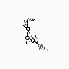 COC(=O)CC1c2ccc(OCc3cccc(-c4c(C)cc(OCCCS(C)(=O)=O)cc4C)c3)cc2C2CC12